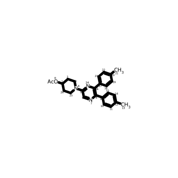 CC(=O)OC1CCN(c2cnc(-c3ccc(C)cc3)c(-c3ccc(C)cc3)n2)CC1